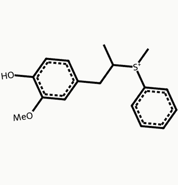 COc1cc(CC(C)[S+](C)c2ccccc2)ccc1O